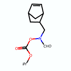 CC(C)OC(=O)ON(C=O)CC1CC2C=CC1C2